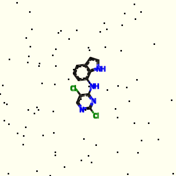 Clc1ncc(Cl)c(Nc2cccc3cc[nH]c23)n1